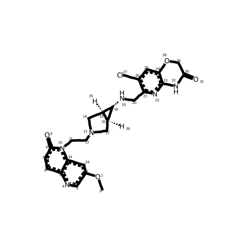 COc1cnc2ccc(=O)n(CCN3C[C@@H]4[C@H](C3)[C@H]4NCc3nc4c(cc3Cl)OCC(=O)N4)c2c1